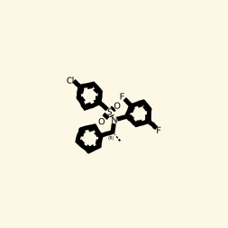 C[C@H](c1ccccc1)N(c1cc(F)ccc1F)S(=O)(=O)c1ccc(Cl)cc1